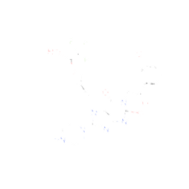 COc1cccc(C(=O)Cn2c(=O)c3c(nc(N4CCNCC4)n3CC=C(C)C)n(C)c2=O)c1.O=C(O)C(F)(F)F